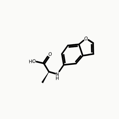 C[C@H](Nc1ccc2occc2c1)C(=O)O